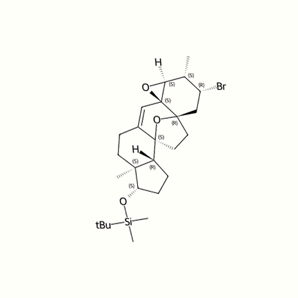 C[C@@H]1[C@H](Br)C[C@@]23CC[C@@]4(O2)C(=C[C@@]32O[C@@H]12)CC[C@]1(C)[C@@H](O[Si](C)(C)C(C)(C)C)CC[C@H]14